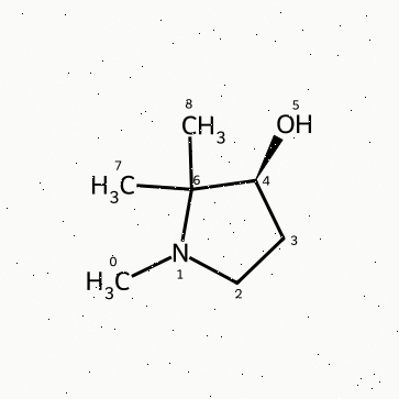 CN1CC[C@H](O)C1(C)C